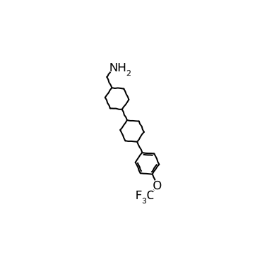 NCC1CCC(C2CCC(c3ccc(OC(F)(F)F)cc3)CC2)CC1